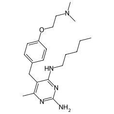 CCCCCNc1nc(N)nc(C)c1Cc1ccc(OCCN(C)C)cc1